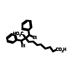 CCC(c1ccccc1)C(CCCCCCCC(=O)O)(C(=O)O)C(CC)c1ccccc1